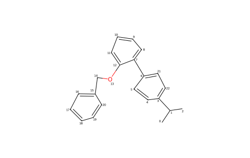 CC(C)c1ccc(-c2ccccc2OCc2ccccc2)cc1